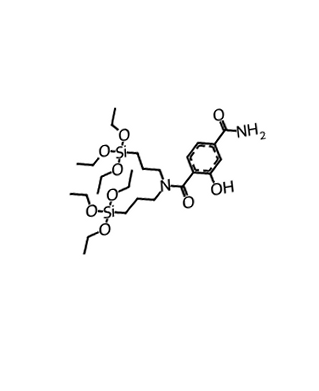 CCO[Si](CCCN(CCC[Si](OCC)(OCC)OCC)C(=O)c1ccc(C(N)=O)cc1O)(OCC)OCC